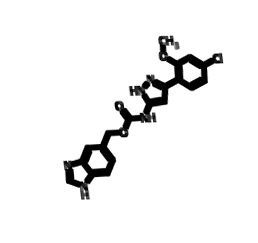 COc1cc(Cl)ccc1-c1cc(NC(=O)OCc2ccc3[nH]cnc3c2)[nH]n1